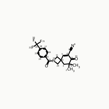 CC1(C)CC2(C=C(C#N)C1=O)CN(C(=O)c1ccc(C(F)(F)F)cc1)C2